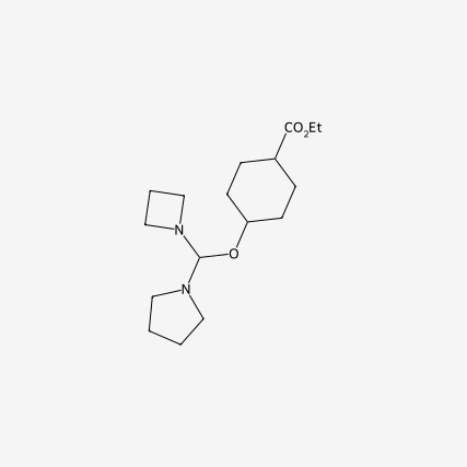 CCOC(=O)C1CCC(OC(N2CCCC2)N2CCC2)CC1